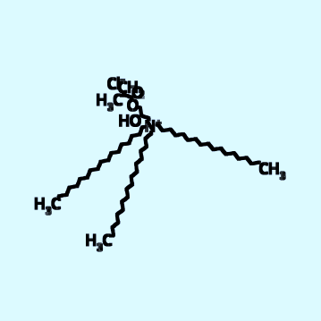 C=C(C)C(=O)OCC(O)C[N+](CCCCCCCCCCCCCCCCCC)(CCCCCCCCCCCCCCCCCC)CCCCCCCCCCCCCCCCCC.[Cl-]